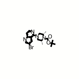 C[C@@H]1CN(c2nccc3ncc(Br)cc23)C[C@H](C)N1C(=O)OC(C)(C)C